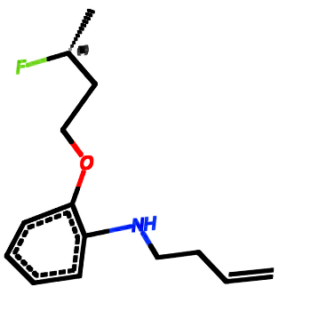 C=CCCNc1ccccc1OCC[C@@H](C)F